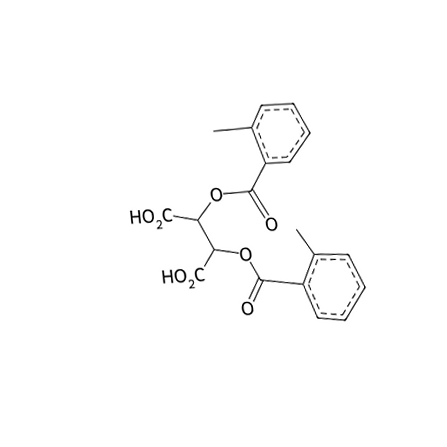 Cc1ccccc1C(=O)OC(C(=O)O)C(OC(=O)c1ccccc1C)C(=O)O